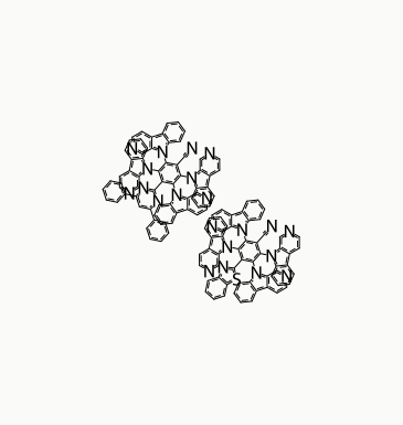 N#Cc1c(-n2c3ccccc3c3ccncc32)c(-n2c3ccccc3c3ccncc32)c(-c2nc(-c3ccccc3)cc(-c3ccccc3)n2)c(-n2c3ccccc3c3ccncc32)c1-n1c2ccccc2c2ccncc21.N#Cc1c(-n2c3ccccc3c3ccncc32)c(-n2c3ccccc3c3ccncc32)c(-c2nc3ccccc3s2)c(-n2c3ccccc3c3ccncc32)c1-n1c2ccccc2c2ccncc21